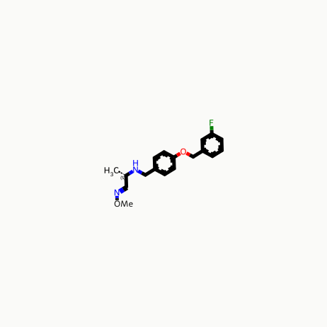 CON=C[C@H](C)NCc1ccc(OCc2cccc(F)c2)cc1